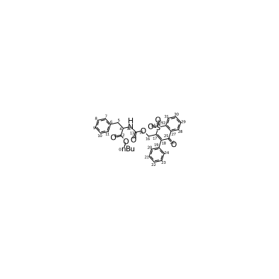 CCCCOC(=O)C(Cc1ccccc1)NC(=O)OCC1=C(c2ccccc2)C(=O)c2ccccc2S1(=O)=O